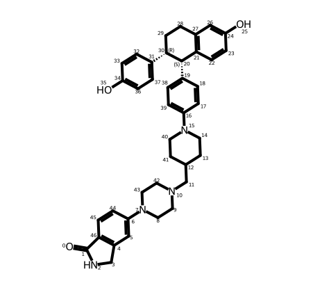 O=C1NCc2cc(N3CCN(CC4CCN(c5ccc([C@H]6c7ccc(O)cc7CC[C@H]6c6ccc(O)cc6)cc5)CC4)CC3)ccc21